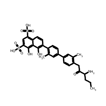 CCCC(N)C(=O)Cc1ccc(-c2ccc(-c3ccc4c(S(=O)(=O)O)cc(S(=O)(=O)O)c(O)c4c3O)c(C)c2)cc1C